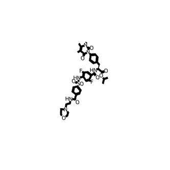 Cc1c(C)n(C)c(=O)n(-c2ccc(C[C@H](NC(=O)c3cc(F)c(NS(=O)(=O)c4ccc(C(=O)NCCN5CCOCC5)cc4)cc3F)C(=O)OC(C)C)cc2)c1=O